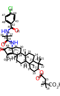 CC(C)C1=C2[C@H]3CC[C@@H]4[C@@]5(C)CC[C@H](OC(=O)CC(C)(C)C(=O)O)C(C)(C)[C@@H]5CC[C@@]4(C)[C@]3(C)CC[C@@]2(NC(=O)C(C)(C)NC(=O)c2ccc(Cl)cc2)CC1=O